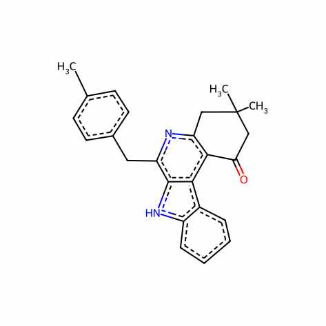 Cc1ccc(Cc2nc3c(c4c2[nH]c2ccccc24)C(=O)CC(C)(C)C3)cc1